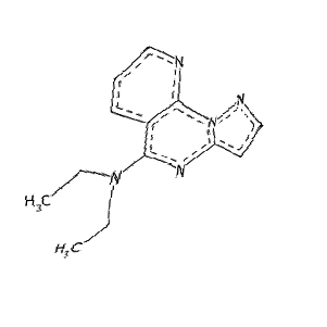 CCN(CC)c1nc2ccnn2c2ncccc12